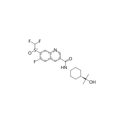 CC(C)(O)[C@H]1CC[C@H](NC(=O)c2cnc3cc([S+]([O-])C(F)F)c(F)cc3c2)CC1